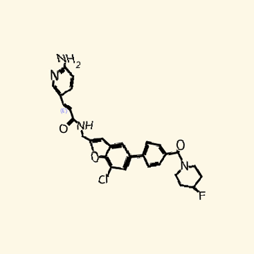 Nc1ccc(/C=C/C(=O)NCc2cc3cc(-c4ccc(C(=O)N5CCC(F)CC5)cc4)cc(Cl)c3o2)cn1